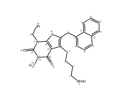 CC(=O)NCCCSc1c(Cc2cccc3ccccc23)sc2c1c(=O)n(C)c(=O)n2CC(C)C